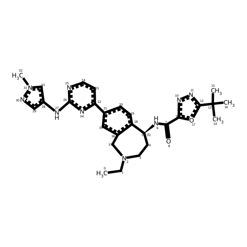 CCN1CC[C@H](NC(=O)c2nnc(C(C)(C)C)o2)c2ccc(-c3ccnc(Nc4cnn(C)c4)n3)cc2C1